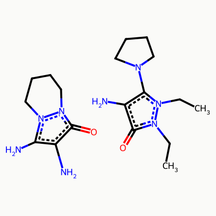 CCn1c(N2CCCC2)c(N)c(=O)n1CC.Nc1c(N)n2n(c1=O)CCCC2